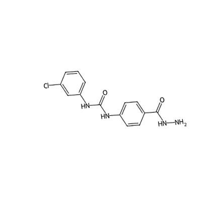 NNC(=O)c1ccc(NC(=O)Nc2cccc(Cl)c2)cc1